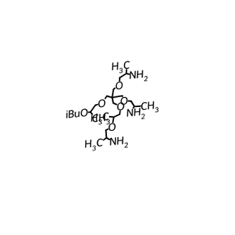 CC(C)COC(C)COCC(COCC(C)N)(COCC(C)N)COCC(C)OCC(C)N